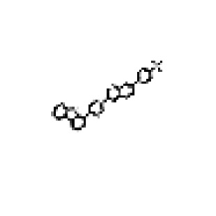 C[Si](C)(C)c1ccc(-c2ccc3cc(-c4ccc(-c5cccc6c5oc5ncccc56)nc4)cnc3c2)cc1